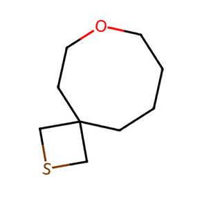 C1CCC2(CCOC1)CSC2